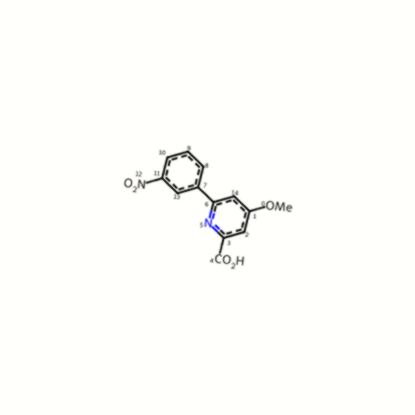 COc1cc(C(=O)O)nc(-c2cccc([N+](=O)[O-])c2)c1